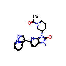 Cn1c(=O)n(C2CCCN(C(=O)C(C)(C)C)C2)c2nc(-c3cnn4ccccc34)ccc21